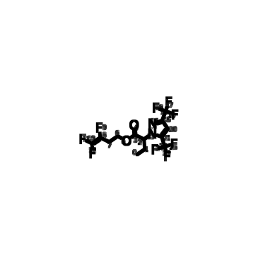 CCC(C(=O)OCCC(F)=C(F)F)n1nc(C(F)(F)F)cc1C(F)(F)F